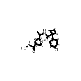 CC(NC(=O)C1(c2ccc(Cl)cc2)CCC1)c1ncc(C(=O)NO)s1